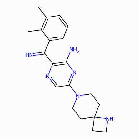 Cc1cccc(C(=N)c2ncc(N3CCC4(CCN4)CC3)nc2N)c1C